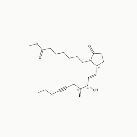 CCCC#CC[C@H](C)[C@@H](O)C=C[C@H]1CCC(=O)N1CCCCCCC(=O)OC